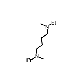 CCN(C)CCCCN(C)C(C)C